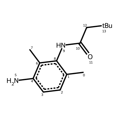 Cc1ccc(N)c(C)c1NC(=O)CC(C)(C)C